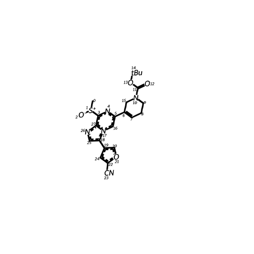 C[S+]([O-])c1nc(C2=CCCN(C(=O)OC(C)(C)C)C2)cn2c(-c3coc(C#N)c3)cnc12